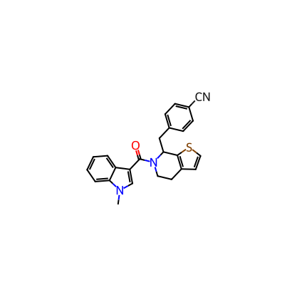 Cn1cc(C(=O)N2CCc3ccsc3C2Cc2ccc(C#N)cc2)c2ccccc21